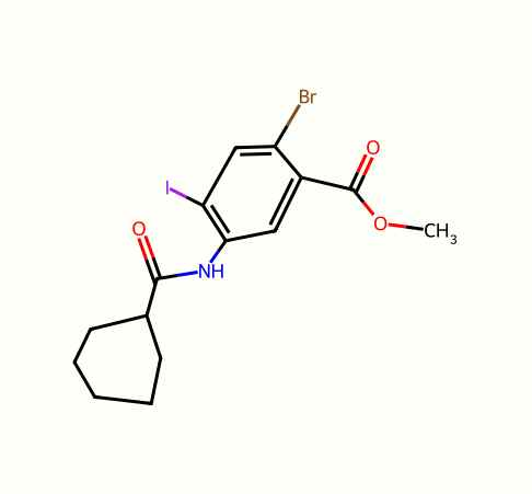 COC(=O)c1cc(NC(=O)C2CCCCC2)c(I)cc1Br